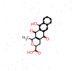 CC1OC(C(=O)O)CC2=C1C(=O)c1c(cc3ccccc3c1O)C2=O